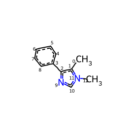 Cc1c(-c2ccccc2)ncn1C